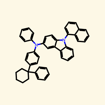 c1ccc(N(c2ccc(C3(c4ccccc4)CCCCC3)cc2)c2ccc3c(c2)c2ccccc2n3-c2cccc3ccccc23)cc1